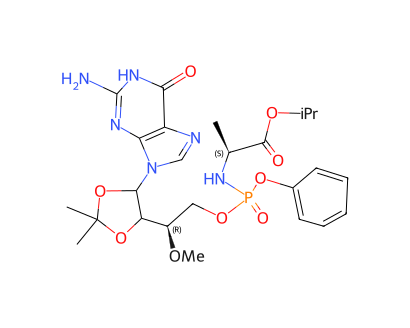 CO[C@H](COP(=O)(N[C@@H](C)C(=O)OC(C)C)Oc1ccccc1)C1OC(C)(C)OC1n1cnc2c(=O)[nH]c(N)nc21